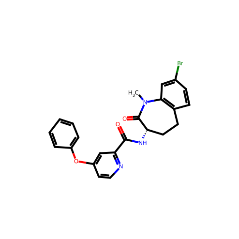 CN1C(=O)[C@@H](NC(=O)c2cc(Oc3ccccc3)ccn2)CCc2ccc(Br)cc21